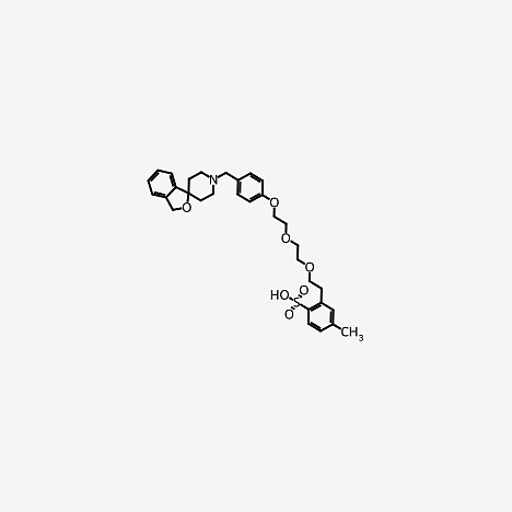 Cc1ccc(S(=O)(=O)O)c(CCOCCOCCOc2ccc(CN3CCC4(CC3)OCc3ccccc34)cc2)c1